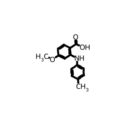 COc1ccc(C(=O)O)c(Nc2ccc(C)cc2)c1